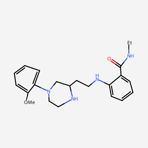 CCNC(=O)c1ccccc1NCCC1CN(c2ccccc2OC)CCN1